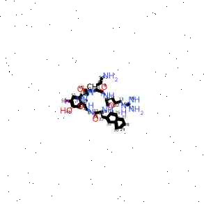 CN1[C@H](CCCN)C(=O)N[C@@H](CCCNC(=N)N)C(=O)N[C@@H](Cc2ccc3ccccc3c2)C(=O)NCC(=O)N[C@]1(C=O)Cc1ccc(O)c(I)c1